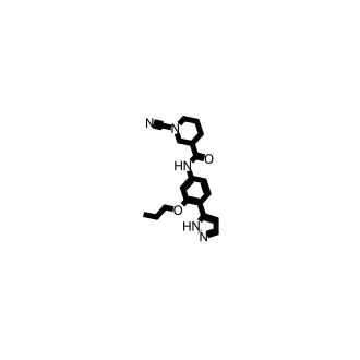 CCCOc1cc(NC(=O)C2CCCN(C#N)C2)ccc1-c1ccn[nH]1